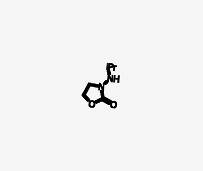 CC(C)NN1CCOC1=O